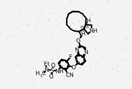 CCN(C)S(=O)(=O)Nc1ccc(F)c(Oc2ccc3ncc(OCC4CCCCCCCCC[C@@H]5CNC[C@@H]45)nc3c2)c1C#N